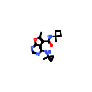 Cc1oc2ncnc(NC3(C)CC3)c2c1C(=O)NC1(C)CCC1